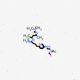 C=C(F)/C(=N\C(CCCc1ccc(NCCN(CI)C(C)=O)cn1)=N/C)c1sc(N(C)C)nc1C